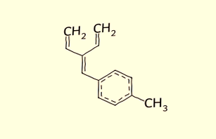 C=CC(C=C)=Cc1ccc(C)cc1